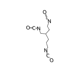 O=C=NCCCC(CCN=C=O)CN=C=O